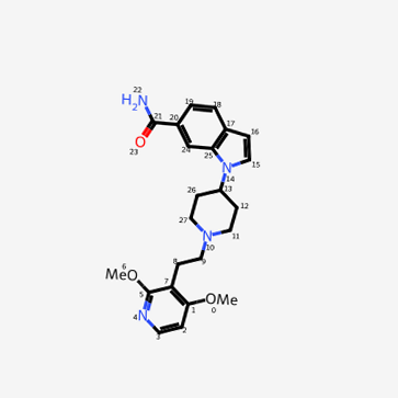 COc1ccnc(OC)c1CCN1CCC(n2ccc3ccc(C(N)=O)cc32)CC1